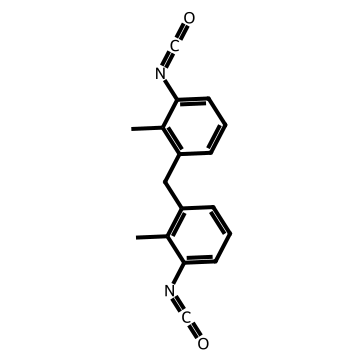 Cc1c(Cc2cccc(N=C=O)c2C)cccc1N=C=O